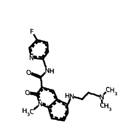 CN(C)CCNc1cccc2c1cc(C(=O)Nc1ccc(F)cn1)c(=O)n2C